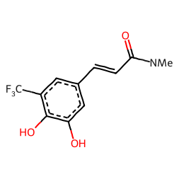 CNC(=O)C=Cc1cc(O)c(O)c(C(F)(F)F)c1